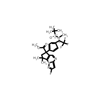 COC(=O)C1(c2ccc([C@H](N(C)[S@+]([O-])C(C)(C)C)C(F)(F)F)cc2)CC(C)(C)c2c1cnc1cc(F)nn21